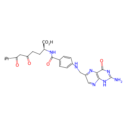 CC(C)C(=O)CC(=O)CC[C@H](NC(=O)c1ccc(NCc2cnc3[nH]c(N)nc(=O)c3n2)cc1)C(=O)O